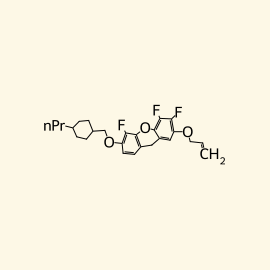 C=CCOc1cc2c(c(F)c1F)Oc1c(ccc(OCC3CCC(CCC)CC3)c1F)C2